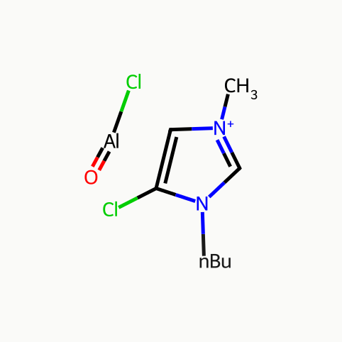 CCCCn1c[n+](C)cc1Cl.[O]=[Al][Cl]